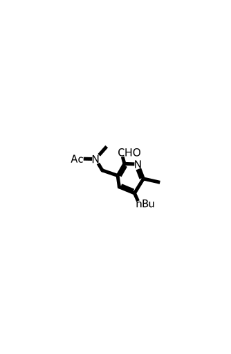 CCCCc1cc(CN(C)C(C)=O)c(C=O)nc1C